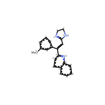 COc1cccc(C(=CC2=NCCN2)c2ccc3ccccc3n2)c1